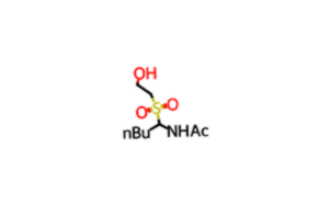 CCCCC(NC(C)=O)S(=O)(=O)CCO